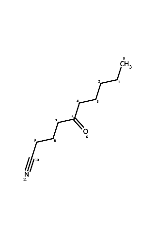 CCCCCC(=O)CCCC#N